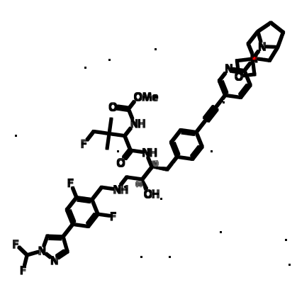 COC(=O)NC(C(=O)N[C@@H](Cc1ccc(C#Cc2ccc(N3CC4CCC(C3)N4C3COC3)nc2)cc1)[C@@H](O)CNCc1c(F)cc(-c2cnn(C(F)F)c2)cc1F)C(C)(C)CF